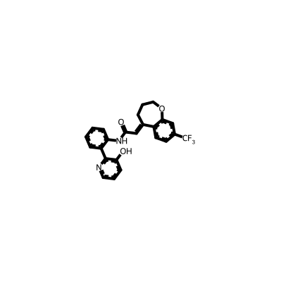 O=C(C=C1CCCOc2cc(C(F)(F)F)ccc21)Nc1ccccc1-c1ncccc1O